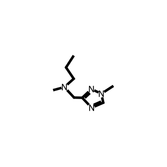 CCCN(C)Cc1ncn(C)n1